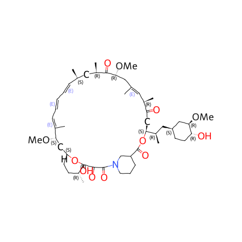 CO[C@H]1C[C@@H]2CC[C@@H](C)[C@@](O)(O2)C(=O)C(=O)N2CCCC(C2)C(=O)O[C@H]([C@H](C)C[C@@H]2CC[C@@H](O)[C@H](OC)C2)CC(=O)[C@H](C)/C=C(\C)C[C@@H](OC)C(=O)[C@H](C)C[C@H](C)/C=C/C=C/C=C/1C